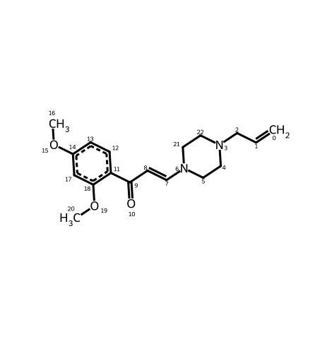 C=CCN1CCN(C=CC(=O)c2ccc(OC)cc2OC)CC1